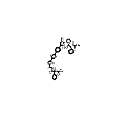 COC(=O)N[C@@H](C(=O)N[C@@H](C)c1ncc(-c2cnc(-c3ccc(C4=CNC([C@@H]5CCCN5C(=O)[C@H](NC(=O)OC)c5ccccc5)N4)cc3)cn2)[nH]1)c1ccccc1